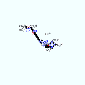 CN(C)c1nc(Nc2ccc(CC3CN(CC(=O)O)CCN(CC(=O)O)CCN(CC(=O)O)CCN3CC(=O)O)cc2)nc(N2CCN(CCCCCCCCCCC(=O)NCCCC[C@H](NC(=O)N[C@@H](CCC(=O)O)C(=O)O)C(=O)O)CC2)n1.[Lu+3]